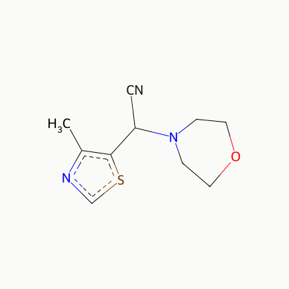 Cc1ncsc1C(C#N)N1CCOCC1